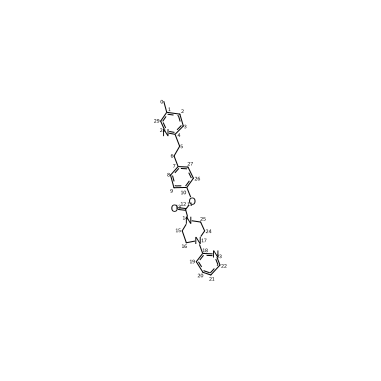 Cc1ccc(CCc2ccc(OC(=O)N3CCN(c4ccccn4)CC3)cc2)nc1